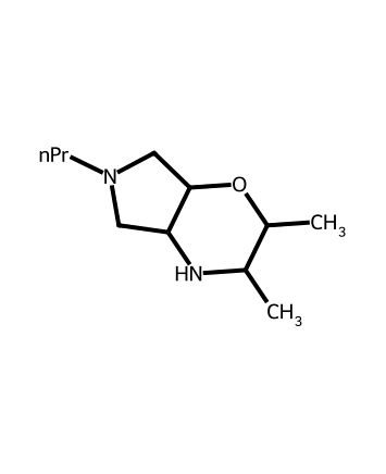 CCCN1CC2NC(C)C(C)OC2C1